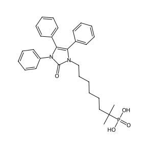 CC(C)(CCCCCCn1c(-c2ccccc2)c(-c2ccccc2)n(-c2ccccc2)c1=O)P(=O)(O)O